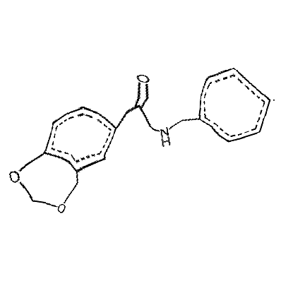 O=C(Nc1cc[c]cc1)c1ccc2c(c1)OCO2